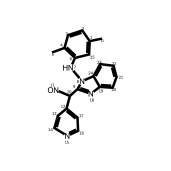 Cc1ccc(C)c(Nn2c(C(N=O)c3ccncc3)nc3ccccc32)c1